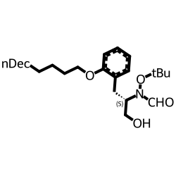 CCCCCCCCCCCCCCOc1ccccc1C[C@@H](CO)N(C=O)OC(C)(C)C